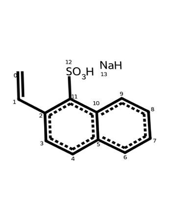 C=Cc1ccc2ccccc2c1S(=O)(=O)O.[NaH]